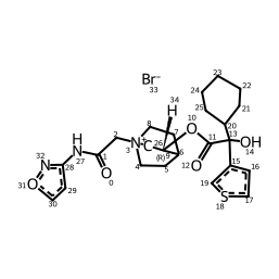 O=C(C[N+]12CCC(CC1)[C@@H](OC(=O)C(O)(c1ccsc1)C1CCCCC1)C2)Nc1ccon1.[Br-]